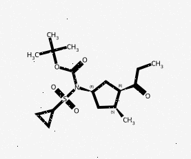 CCC(=O)[C@@H]1C[C@H](N(C(=O)OC(C)(C)C)S(=O)(=O)C2CC2)C[C@@H]1C